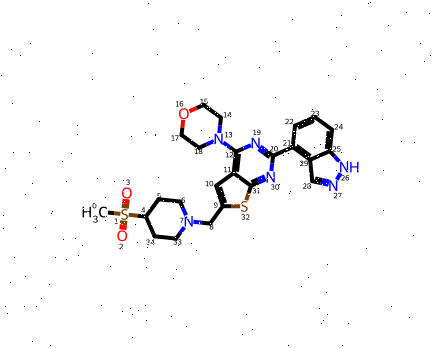 CS(=O)(=O)C1CCN(Cc2cc3c(N4CCOCC4)nc(-c4cccc5[nH]ncc45)nc3s2)CC1